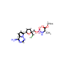 CCCCCCOC(=O)[C@H](C)N[PH](=O)OC[C@]1(CF)CC[C@H](c2ccc3c(N)ncnn23)O1